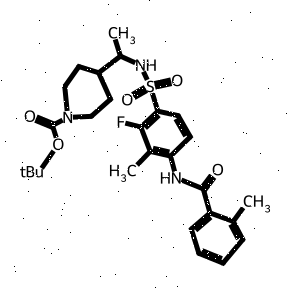 Cc1ccccc1C(=O)Nc1ccc(S(=O)(=O)NC(C)C2CCN(C(=O)OC(C)(C)C)CC2)c(F)c1C